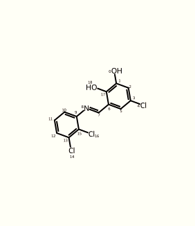 Oc1cc(Cl)cc(C=Nc2cccc(Cl)c2Cl)c1O